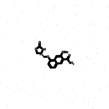 COc1cc2c(OC[C@@H]3COC(=O)N3)cccc2[c]c1C(N)=O